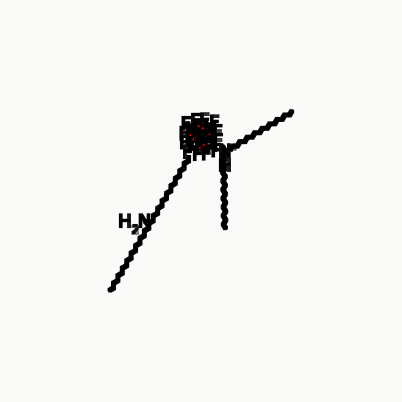 CCCCCCCCCCCCCCCCCCC(N)CCCCCCCCCCCCCCCCCC.CCCCCCCCCCCCCCCCCC[NH+](C)CCCCCCCCCCCCCCCCCC.Fc1c(F)c(F)c([B-](c2c(F)c(F)c(F)c(F)c2F)(c2c(F)c(F)c(F)c(F)c2F)c2c(F)c(F)c(F)c(F)c2F)c(F)c1F